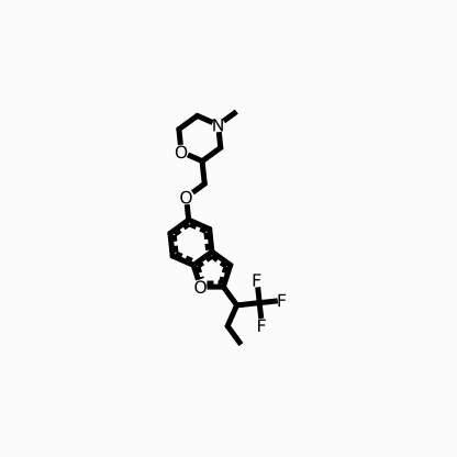 CCC(c1cc2cc(OCC3CN(C)CCO3)ccc2o1)C(F)(F)F